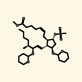 CCCC[C@H](C)[C@@H](/C=C/[C@@H]1[C@@H](C/C=C\CCCC(=O)OC)[C@H](OS(C)(=O)=O)C[C@H]1OC1CCCCO1)OC1CCCCO1